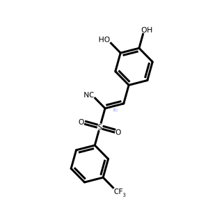 N#C/C(=C\c1ccc(O)c(O)c1)S(=O)(=O)c1cccc(C(F)(F)F)c1